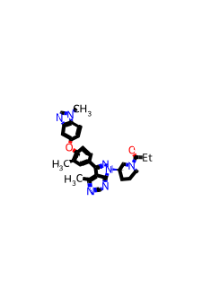 CCC(=O)N1CCC[C@@H](n2nc(-c3ccc(Oc4ccc5c(c4)ncn5C)c(C)c3)c3c(C)ncnc32)C1